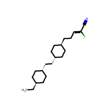 CC[C@H]1CC[C@H](CC[C@H]2CC[C@H](CCC=C(F)C#N)CC2)CC1